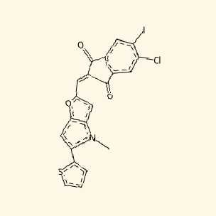 Cn1c(-c2cccs2)cc2oc(/C=C3\C(=O)c4cc(Cl)c(I)cc4C3=O)cc21